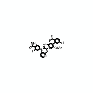 COc1cn(C(Cc2ccccn2)C(=O)Nc2ccc(C(N)=O)c(F)c2)c(=O)cc1-c1cc(Cl)ccc1C(F)F